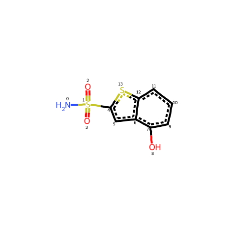 NS(=O)(=O)c1cc2c(O)cccc2s1